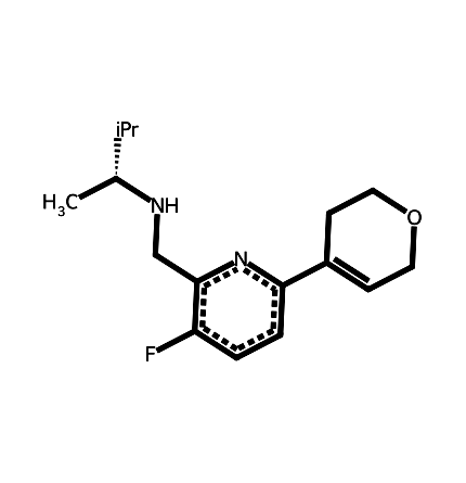 CC(C)[C@@H](C)NCc1nc(C2=CCOCC2)ccc1F